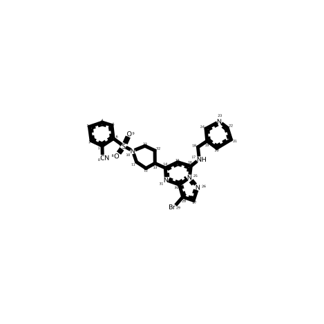 N#Cc1ccccc1S(=O)(=O)N1CCC(c2cc(NCc3cccnc3)n3ncc(Br)c3n2)CC1